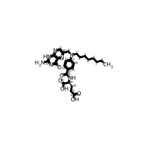 CCCCCCCCN(Cc1cnc2[nH]c(N)nc(=O)c2n1)c1ccc(C(=O)N[C@@H](CCC(=O)O)C(=O)O)cc1